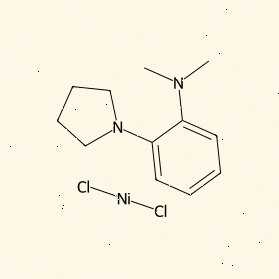 CN(C)c1ccccc1N1CCCC1.[Cl][Ni][Cl]